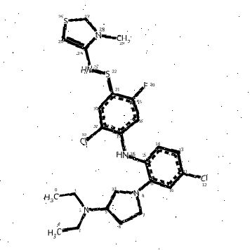 CCN(CC)C1CCN(c2cc(Cl)ccc2Nc2cc(F)c(SNC3=CSCN3C)cc2Cl)C1